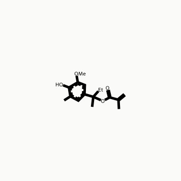 C=C(C)C(=O)OC(C)(CC)c1cc(C)c(O)c(OC)c1